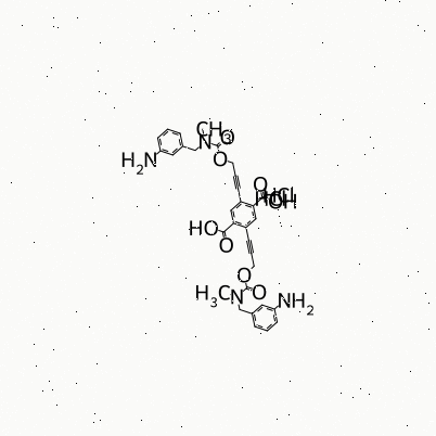 CN(Cc1cccc(N)c1)C(=O)OCC#Cc1cc(C(=O)O)c(C#CCOC(=O)N(C)Cc2cccc(N)c2)cc1C(=O)O.Cl.Cl